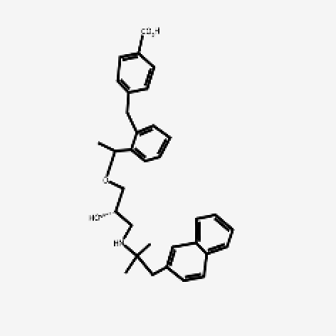 CC(OC[C@@H](O)CNC(C)(C)Cc1ccc2ccccc2c1)c1ccccc1Cc1ccc(C(=O)O)cc1